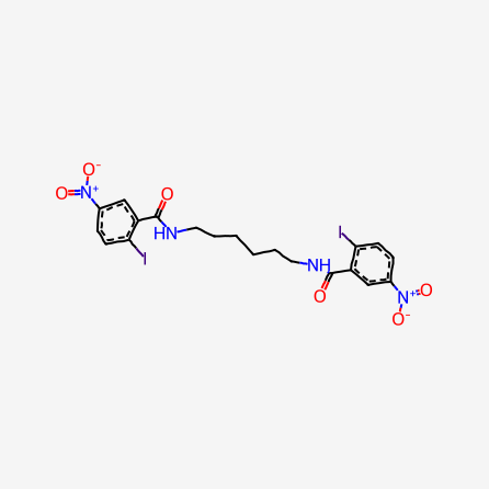 O=C(NCCCCCCNC(=O)c1cc([N+](=O)[O-])ccc1I)c1cc([N+](=O)[O-])ccc1I